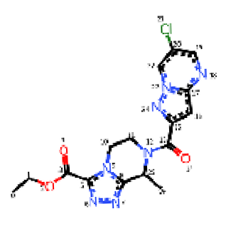 CCOC(=O)c1nnc2n1CCN(C(=O)c1cc3ncc(Cl)cn3n1)C2C